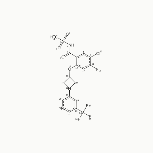 CS(=O)(=O)NC(=O)c1cc(Cl)c(F)cc1OC1CN(c2cncc(C(F)(F)F)c2)C1